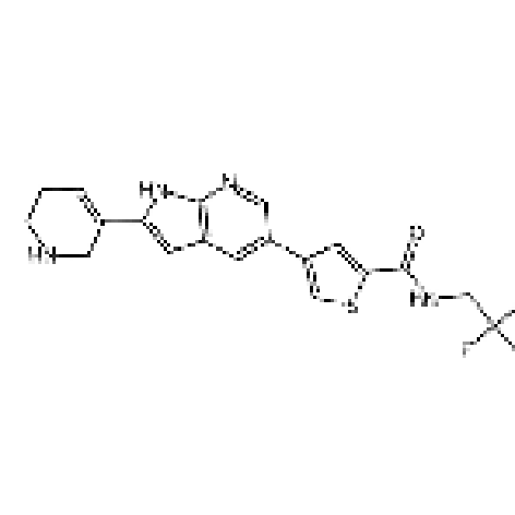 O=C(NCC(F)(F)F)c1cc(-c2cnc3[nH]c(C4=CCCNC4)cc3c2)cs1